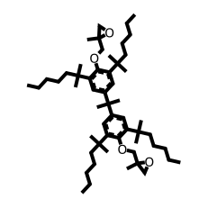 CCCCCC(C)(C)c1cc(C(C)(C)c2cc(C(C)(C)CCCCC)c(OCC3(C)CO3)c(C(C)(C)CCCCC)c2)cc(C(C)(C)CCCCC)c1OCC1(C)CO1